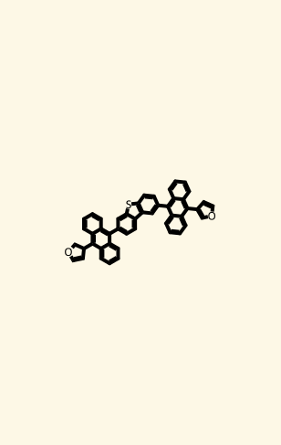 C1=CC(c2c3ccccc3c(-c3ccc4c(c3)sc3ccc(-c5c6ccccc6c(-c6ccoc6)c6ccccc56)cc34)c3ccccc23)CO1